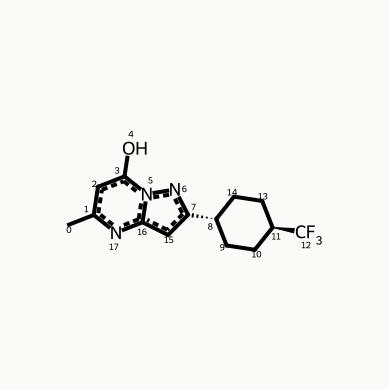 Cc1cc(O)n2nc([C@H]3CC[C@H](C(F)(F)F)CC3)cc2n1